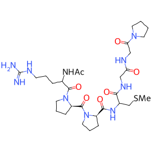 CSCC(NC(=O)[C@H]1CCCN1C(=O)[C@H]1CCCN1C(=O)C(CCCNC(=N)N)NC(C)=O)C(=O)NCC(=O)NCC(=O)N1CCCC1